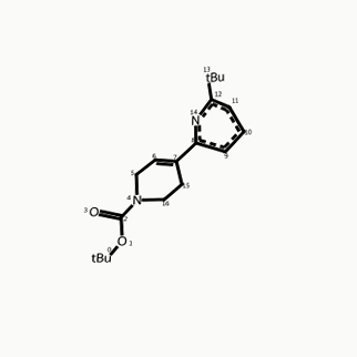 CC(C)(C)OC(=O)N1CC=C(c2cccc(C(C)(C)C)n2)CC1